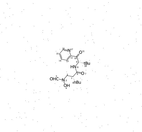 CCCC[C@H](CN(O)C=O)C(=O)N[C@H](C(=O)c1ccccn1)C(C)(C)C